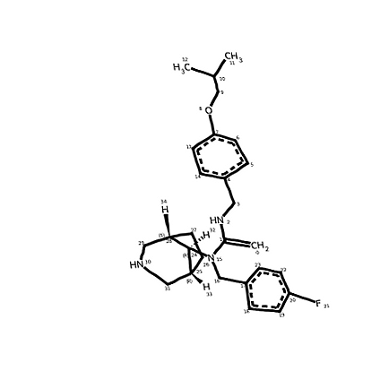 C=C(NCc1ccc(OCC(C)C)cc1)N(Cc1ccc(F)cc1)[C@H]1[C@@H]2CC[C@H]1CNC2